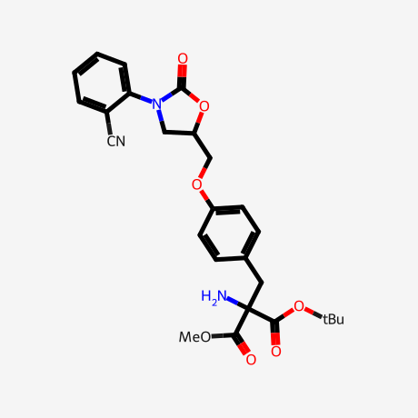 COC(=O)C(N)(Cc1ccc(OCC2CN(c3ccccc3C#N)C(=O)O2)cc1)C(=O)OC(C)(C)C